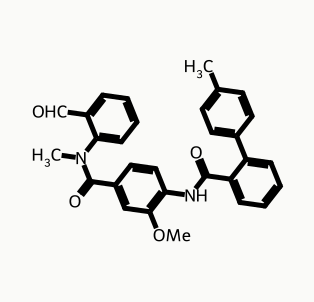 COc1cc(C(=O)N(C)c2ccccc2C=O)ccc1NC(=O)c1ccccc1-c1ccc(C)cc1